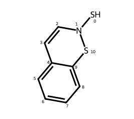 SN1C=Cc2ccccc2S1